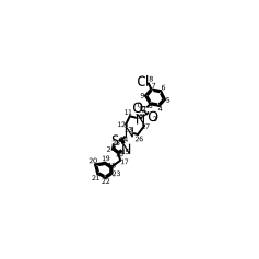 O=S(=O)(c1cccc(Cl)c1)N1CCN(c2nc(Cc3ccccc3)cs2)CC1